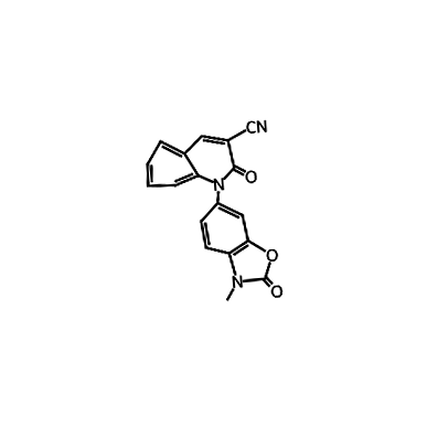 Cn1c(=O)oc2cc(-n3c(=O)c(C#N)cc4ccccc43)ccc21